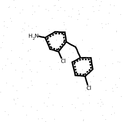 Nc1ccc(Cc2ccc(Cl)cc2)c(Cl)c1